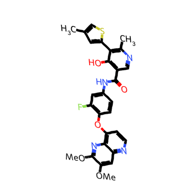 COc1cc2nccc(Oc3ccc(NC(=O)c4cnc(C)c(-c5cc(C)cs5)c4O)cc3F)c2nc1OC